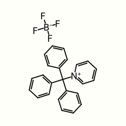 F[B-](F)(F)F.c1ccc(C(c2ccccc2)(c2ccccc2)[n+]2ccccc2)cc1